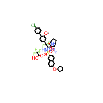 COc1cc(C(F)(F)[C@H](NS(=O)(=O)c2ccc3cc(OC4CCCC4)ccc3c2)C(=O)N2C3CCC2CC(N)C3)ccc1-c1ccc(Cl)cc1.O=C(O)C(F)(F)F